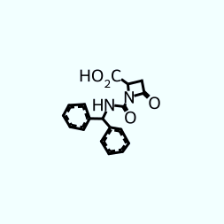 O=C(O)C1CC(=O)N1C(=O)NC(c1ccccc1)c1ccccc1